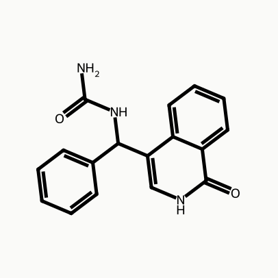 NC(=O)NC(c1ccccc1)c1c[nH]c(=O)c2ccccc12